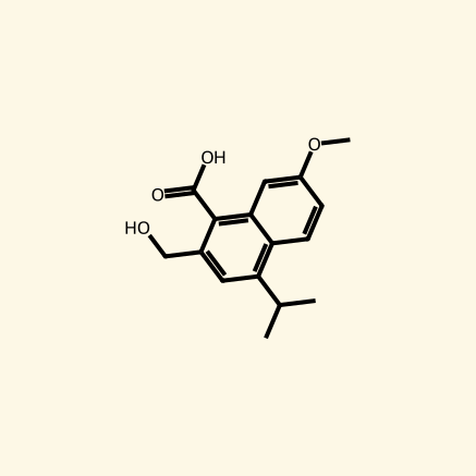 COc1ccc2c(C(C)C)cc(CO)c(C(=O)O)c2c1